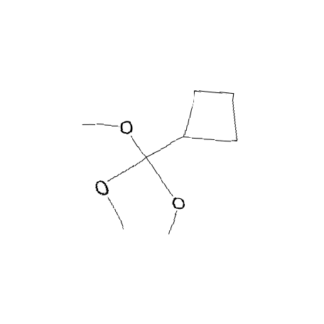 COC(OC)(OC)C1CCC1